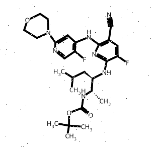 CC(C)C[C@@H](Nc1nc(Nc2cc(N3CCOCC3)ncc2F)c(C#N)cc1F)[C@H](C)NC(=O)OC(C)(C)C